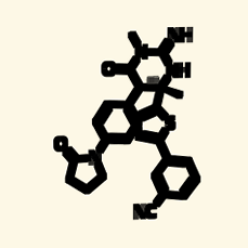 CN1C(=N)N[C@](C)(c2ccc(-c3cccc(C#N)c3)s2)C(c2ccc(N3CCCC3=O)cc2)C1=O